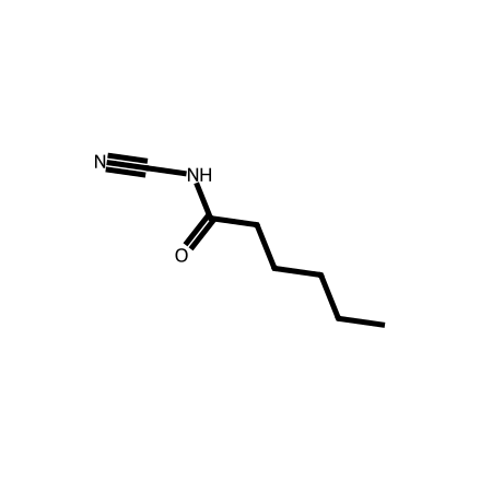 CCCCCC(=O)NC#N